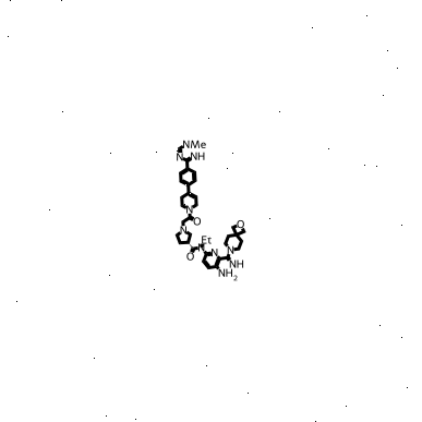 CCN(C(=O)[C@@H]1CCN(CC(=O)N2CC=C(c3ccc(C(=N)/N=C\NC)cc3)CC2)C1)c1ccc(N)c(C(=N)N2CCC3(CC2)COC3)n1